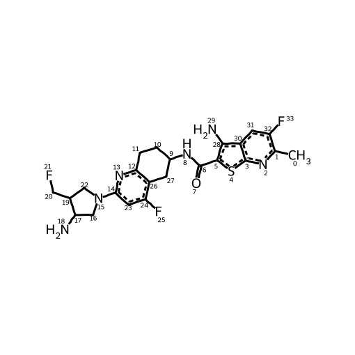 Cc1nc2sc(C(=O)NC3CCc4nc(N5CC(N)C(CF)C5)cc(F)c4C3)c(N)c2cc1F